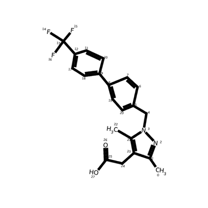 Cc1nn(Cc2ccc(-c3ccc(C(F)(F)F)cc3)cc2)c(C)c1CC(=O)O